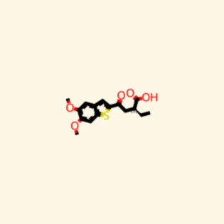 CC[C@@H](CC(=O)c1cc2cc(OC)c(OC)cc2s1)C(=O)O